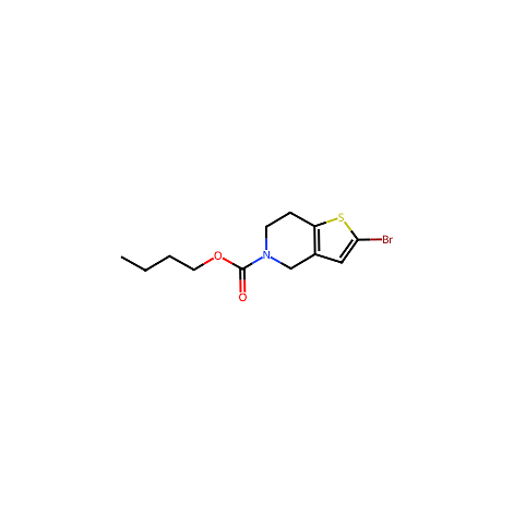 CCCCOC(=O)N1CCc2sc(Br)cc2C1